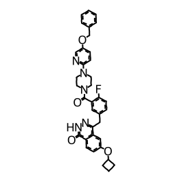 O=C(c1cc(Cc2n[nH]c(=O)c3ccc(OC4CCC4)cc23)ccc1F)N1CCN(c2ccc(OCc3ccccc3)cn2)CC1